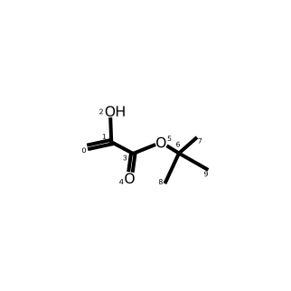 C=C(O)C(=O)OC(C)(C)C